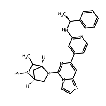 CC(C)N1C(C)[C@@H]2C[C@H]1CN2c1nc(-c2ccnc(N[C@@H](C)c3ccccc3)c2)cc2nccn12